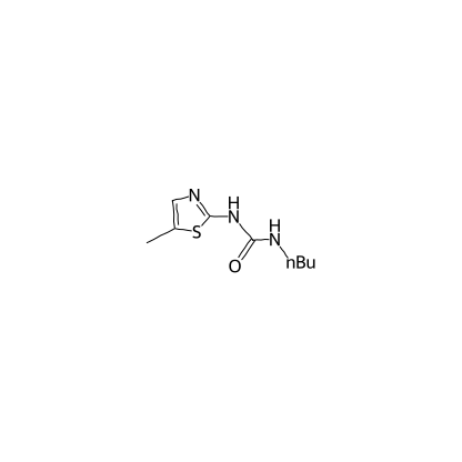 CCCCNC(=O)Nc1ncc(C)s1